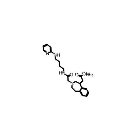 COC(=O)CC1CN(CC(=O)NCCCCNc2ccccn2)CCc2ccccc21